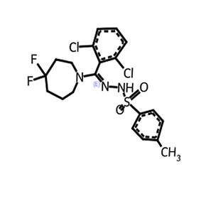 Cc1ccc(S(=O)(=O)N/N=C(\c2c(Cl)cccc2Cl)N2CCCC(F)(F)CC2)cc1